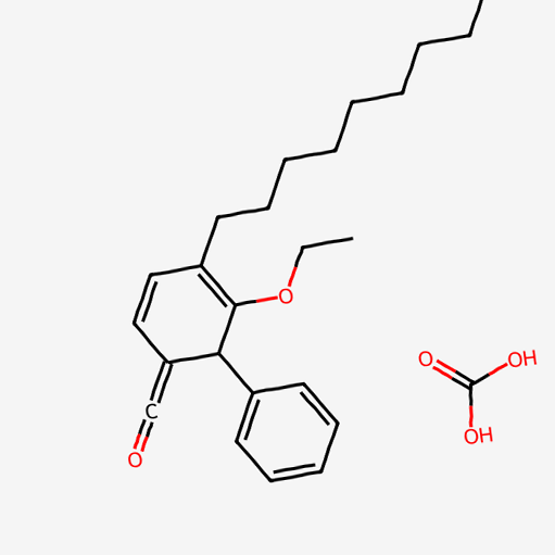 CCCCCCCCCC1=C(OCC)C(c2ccccc2)C(=C=O)C=C1.O=C(O)O